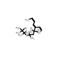 C\C=C/C=C(\C=C/C)C(C)(C)CC(C)(C)SC(C)(C)C(C)(C)C(C)C